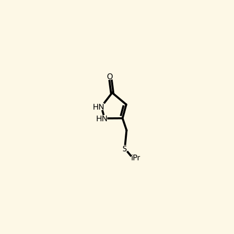 CC(C)SCc1cc(=O)[nH][nH]1